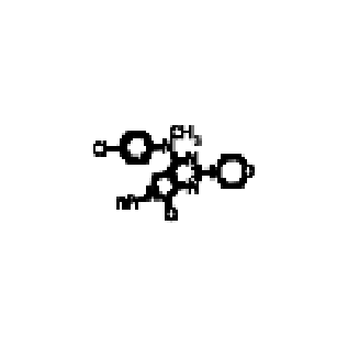 CCCN1Cc2c(nc(N3CCOCC3)nc2N(C)c2ccc(Cl)cc2)C1=O